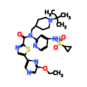 CCOc1cncc(-c2cnc(C(=O)N(CC3CCN(C(C)(C)C)CC3)c3cc(NS(=O)(=O)C4CC4)ccn3)s2)n1